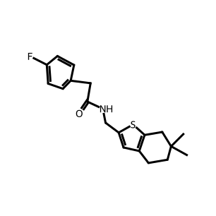 CC1(C)CCc2cc(CNC(=O)Cc3ccc(F)cc3)sc2C1